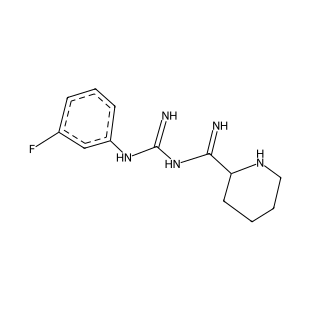 N=C(NC(=N)C1CCCCN1)Nc1cccc(F)c1